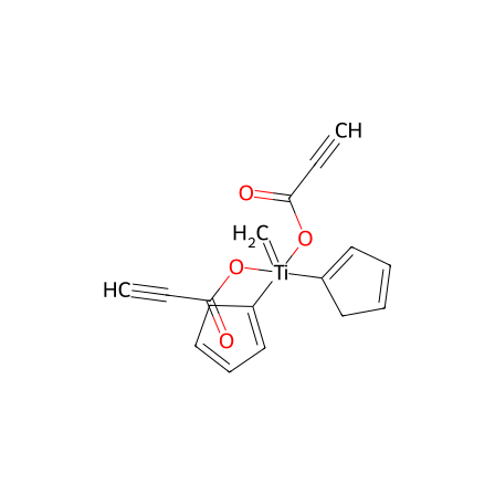 C#CC(=O)[O][Ti](=[CH2])([O]C(=O)C#C)([C]1=CC=CC1)[C]1=CC=CC1